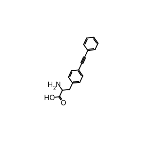 NC(Cc1ccc(C#Cc2ccccc2)cc1)C(=O)O